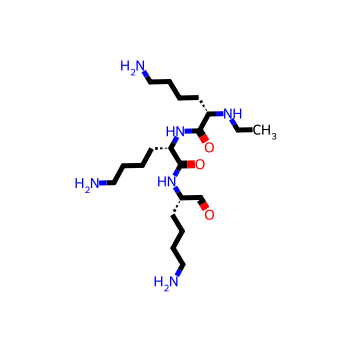 CCN[C@@H](CCCCN)C(=O)N[C@@H](CCCCN)C(=O)N[C@H](C=O)CCCCN